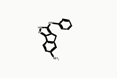 Nc1ccc2c(c1)Cc1c-2n[nH]c1Nc1ccccc1